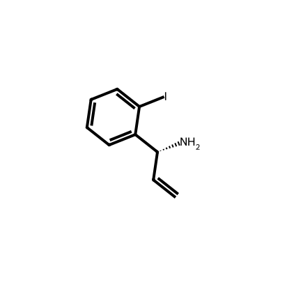 C=C[C@@H](N)c1ccccc1I